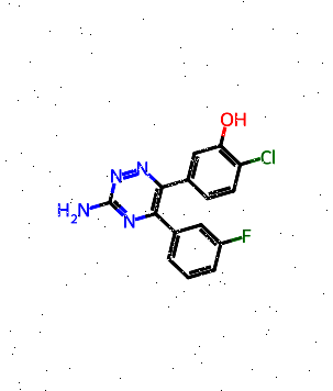 Nc1nnc(-c2ccc(Cl)c(O)c2)c(-c2cccc(F)c2)n1